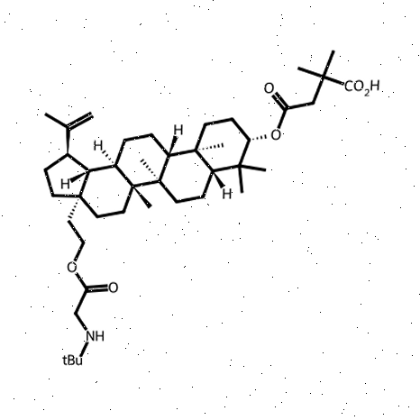 C=C(C)[C@@H]1CC[C@]2(CCOC(=O)CNC(C)(C)C)CC[C@]3(C)[C@H](CC[C@@H]4[C@@]5(C)CC[C@H](OC(=O)CC(C)(C)C(=O)O)C(C)(C)[C@@H]5CC[C@]43C)[C@@H]12